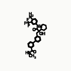 CNC(=O)c1cccc(-c2cccc(CC(O)(C(=O)Nc3ccc(N)c(C(F)(F)F)c3)C3CCCCC3)c2)c1